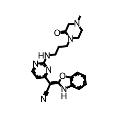 CN1CCN(CCCNc2nccc(/C(C#N)=C3/Nc4ccccc4O3)n2)C(=O)C1